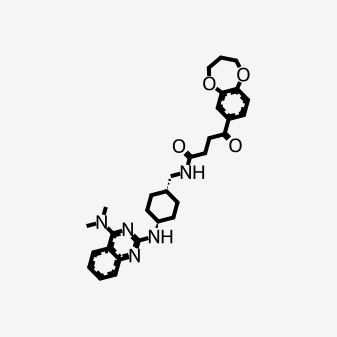 CN(C)c1nc(N[C@H]2CC[C@@H](CNC(=O)CCC(=O)c3ccc4c(c3)OCCCO4)CC2)nc2ccccc12